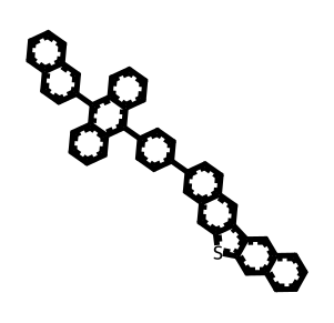 c1ccc2cc(-c3c4ccccc4c(-c4ccc(-c5ccc6cc7c(cc6c5)sc5cc6ccccc6cc57)cc4)c4ccccc34)ccc2c1